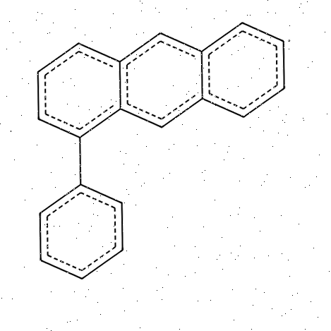 [c]1ccc2cc3c(-c4ccccc4)cccc3cc2c1